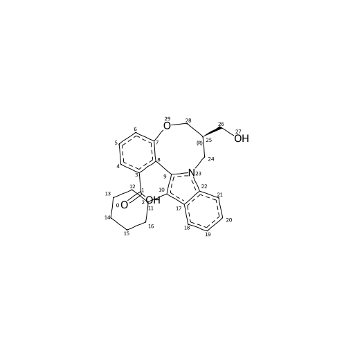 O=C(O)c1cccc2c1-c1c(C3CCCCC3)c3ccccc3n1C[C@H](CO)CO2